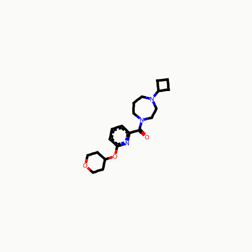 O=C(c1cccc(OC2CCOCC2)n1)N1CCCN(C2CCC2)CC1